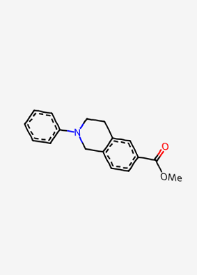 COC(=O)c1ccc2c(c1)CCN(c1ccccc1)C2